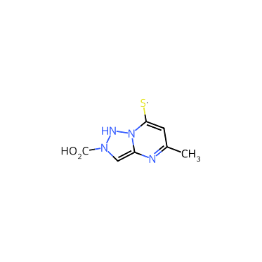 CC1=NC2=CN(C(=O)O)NN2C([S])=C1